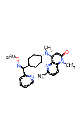 Cn1c(=O)cc(N(C)[C@H]2CC[C@H](/C(=N\OC(C)(C)C)c3ccccn3)CC2)c2nc(C#N)ccc21